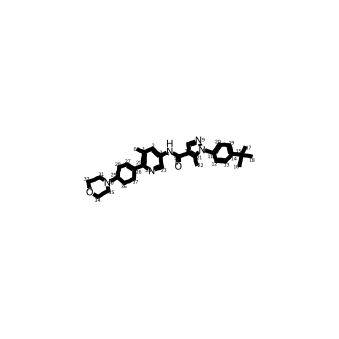 Cc1cc(NC(=O)c2cnn(-c3ccc(C(C)(C)C)cc3)c2C)cnc1C1=CCC(N2CCOCC2)CC1